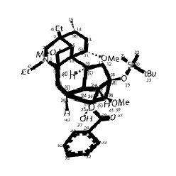 CCN1CC2(CC)C3C(OC)C4C1C3([C@@H](OC)C[C@H]2C)[C@H]1C[C@@]2(O[Si](C)(C)C(C)(C)C)[C@H](OC(=O)c3ccccc3)C1[C@@H]4[C@@H](O)[C@@H]2OC